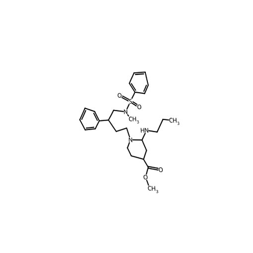 CCCNC1CC(C(=O)OC)CCN1CCC(CN(C)S(=O)(=O)c1ccccc1)c1ccccc1